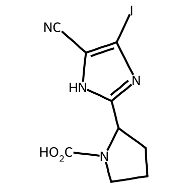 N#Cc1[nH]c(C2CCCN2C(=O)O)nc1I